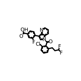 O=C(O)c1ccc(-c2cn(C(=O)c3c(Cl)cccc3CCC(F)F)c3cccnc23)c(F)c1